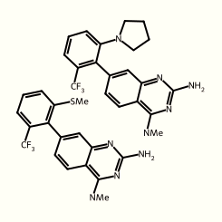 CNc1nc(N)nc2cc(-c3c(N4CCCC4)cccc3C(F)(F)F)ccc12.CNc1nc(N)nc2cc(-c3c(SC)cccc3C(F)(F)F)ccc12